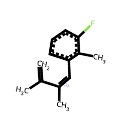 C=C(C)/C(C)=C\c1cccc(F)c1C